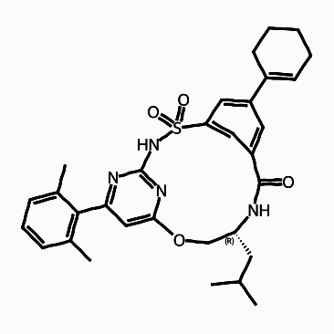 Cc1cccc(C)c1-c1cc2nc(n1)NS(=O)(=O)c1cc(cc(C3=CCCCC3)c1)C(=O)N[C@H](CC(C)C)CO2